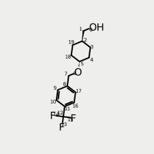 OC[C@H]1CC[C@H](OCc2ccc(C(F)(F)F)cc2)CC1